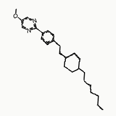 CCCCCCCC1CCC(CCc2ccc(-c3ncc(OC)cn3)cc2)CC1